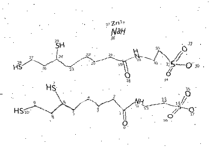 O=C(CCCCC(S)CCS)NCCS(=O)(=O)[O-].O=C(CCCCC(S)CCS)NCCS(=O)(=O)[O-].[NaH].[Zn+2]